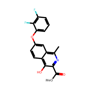 COC(=O)c1nc(C)c2cc(Oc3cccc(F)c3F)ccc2c1O